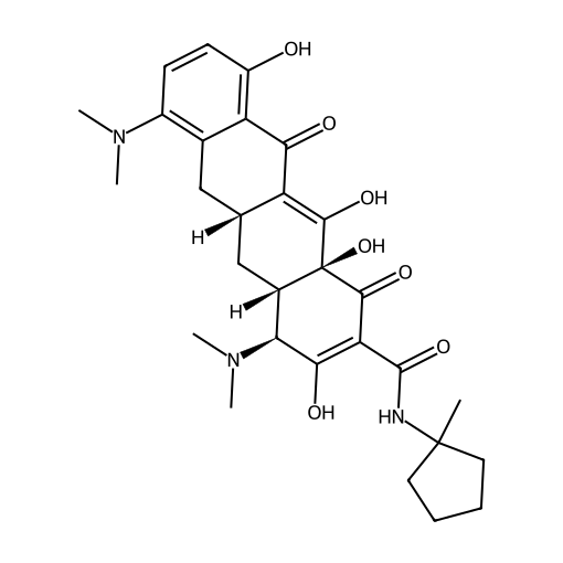 CN(C)c1ccc(O)c2c1C[C@H]1C[C@H]3[C@H](N(C)C)C(O)=C(C(=O)NC4(C)CCCC4)C(=O)[C@@]3(O)C(O)=C1C2=O